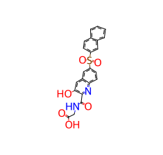 O=C(O)CNC(=O)c1nc2ccc(S(=O)(=O)c3ccc4ccccc4c3)cc2cc1O